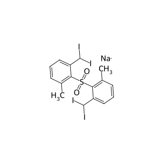 Cc1cccc(C(I)I)c1S(=O)(=O)c1c(C)cccc1C(I)I.[Na]